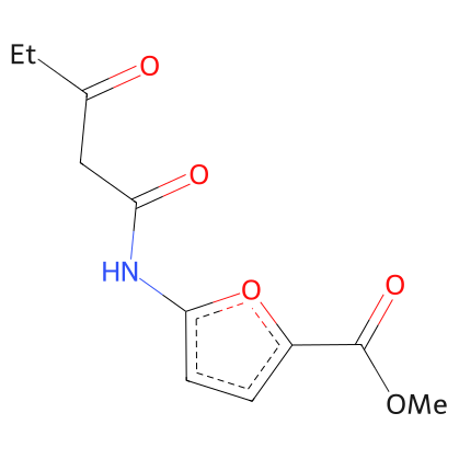 CCC(=O)CC(=O)Nc1ccc(C(=O)OC)o1